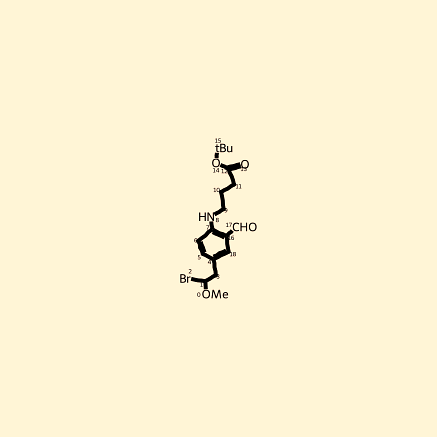 COC(Br)Cc1ccc(NCCCC(=O)OC(C)(C)C)c(C=O)c1